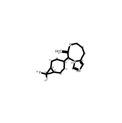 C=C1SCCCc2cncn2C1C1CCC2C(CC1)C2(F)I